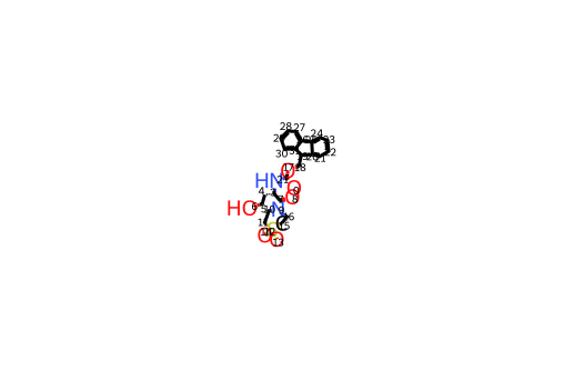 O=C(N[C@@H](CCO)C(=O)N1CCS(=O)(=O)CC1)OCC1c2ccccc2-c2ccccc21